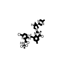 Cc1cc([C@@H](C)Nc2ccc(Cl)nc2C(=O)NS(C)(=O)=O)c2nc(N3C[C@@H]4C[C@]4(c4cnc(C)cn4)C3)n(C)c(=O)c2c1